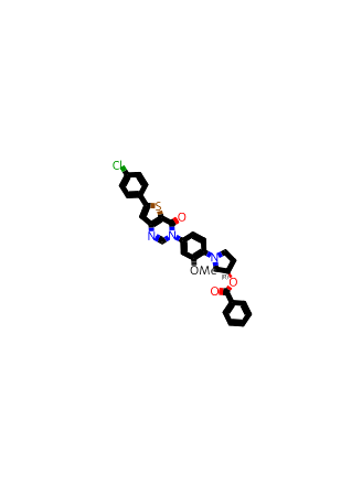 COc1cc(-n2cnc3cc(-c4ccc(Cl)cc4)sc3c2=O)ccc1N1CC[C@@H](OC(=O)c2ccccc2)C1